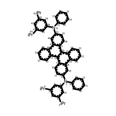 CC(C)c1cc(C(C)C)cc(N(c2ccccc2)c2ccc3c(c2)c2ccccc2c2c4ccc(N(c5ccccc5)c5cc(C(C)C)cc(C(C)C)c5)cc4c4ccccc4c32)c1